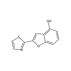 Oc1cccc2oc(-c3nccs3)cc12